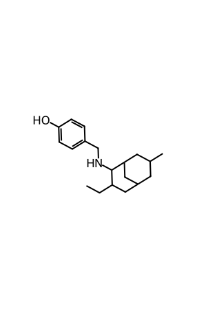 CCC1CC2CC(C)CC(C2)C1NCc1ccc(O)cc1